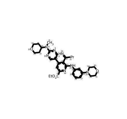 CCOC(=O)c1cc(-c2cnc(N(C)C3CCOCC3)nc2)c(C(=N)C(C)C)c(Nc2cccc(N3CCOCC3)c2)n1